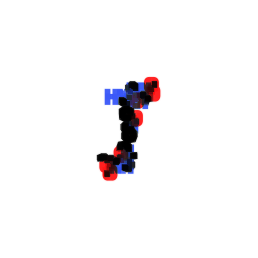 CCCC[C@@H](NC(=O)OC)C(=O)N1CCC[C@H]1/C(C)=N/C=C(\CC)c1ccc2c(c1)cc1n2COc2cc(C3=CNC([C@@H]4CCCN4C(=O)[C@@H](NC(=O)OC)C(C)C)N3)ccc2-1